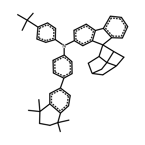 CC(C)(C)c1ccc(N(c2ccc(-c3ccc4c(c3)C(C)(C)CCC4(C)C)cc2)c2ccc3c(c2)C2(c4ccccc4-3)C3CC4CC5CC2C53C4)cc1